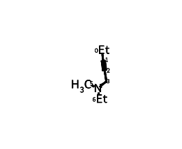 CCC#CCN(C)CC